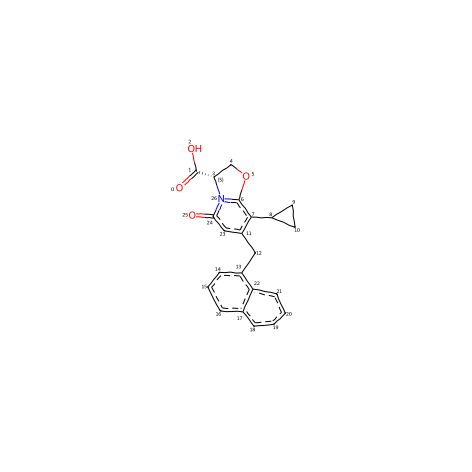 O=C(O)[C@@H]1COc2c(C3CC3)c(Cc3cccc4ccccc34)cc(=O)n21